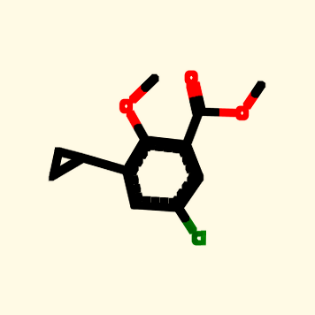 COC(=O)c1cc(Cl)cc(C2CC2)c1OC